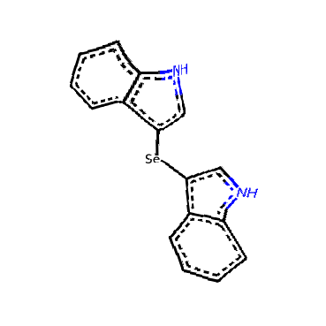 c1ccc2c([Se]c3c[nH]c4ccccc34)c[nH]c2c1